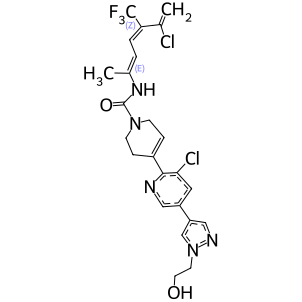 C=C(Cl)/C(=C\C=C(/C)NC(=O)N1CC=C(c2ncc(-c3cnn(CCO)c3)cc2Cl)CC1)C(F)(F)F